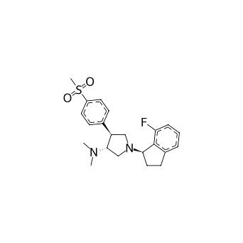 CN(C)[C@H]1CN([C@@H]2CCc3cccc(F)c32)C[C@@H]1c1ccc(S(C)(=O)=O)cc1